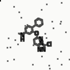 CNc1ccc(-c2ccccc2)c(Oc2ccc3nnc(Cl)n3n2)c1